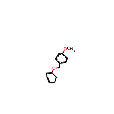 COc1ccc(COC2=CC=CC[CH]2)cc1